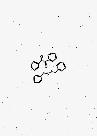 O=C(C(=O)c1ccccc1)c1ccccc1.c1ccc(CSSCc2ccccc2)cc1